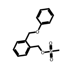 CS(=O)(=O)OCc1ccccc1COc1ccccc1